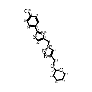 Clc1ccc(-c2nc(Cn3cc(COC4CCCCO4)nn3)cs2)cc1